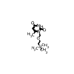 Cc1cc(=O)[nH]c(=O)n1COCC[Si](C)(C)C